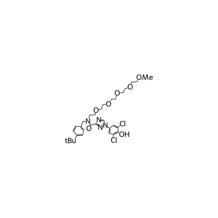 COCCOCCOCCOCCOCCN(Cc1ccc(C(C)(C)C)cc1)C(=O)c1ncn(-c2cc(Cl)c(O)c(Cl)c2)n1